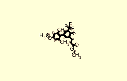 CCOC(=O)CCc1cc(-c2c(C)cc(OC)cc2C)cc(C(F)(F)F)c1F